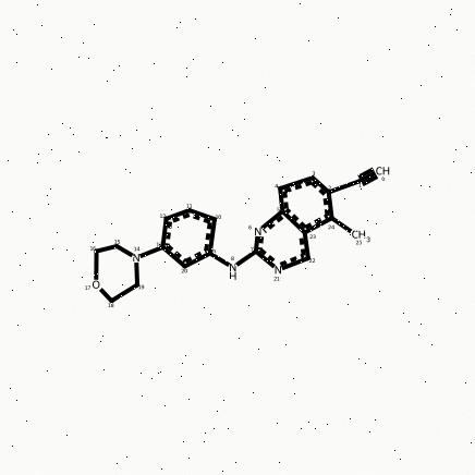 C#Cc1ccc2nc(Nc3cccc(N4CCOCC4)c3)ncc2c1C